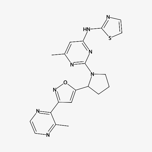 Cc1cc(Nc2nccs2)nc(N2CCCC2c2cc(-c3nccnc3C)no2)n1